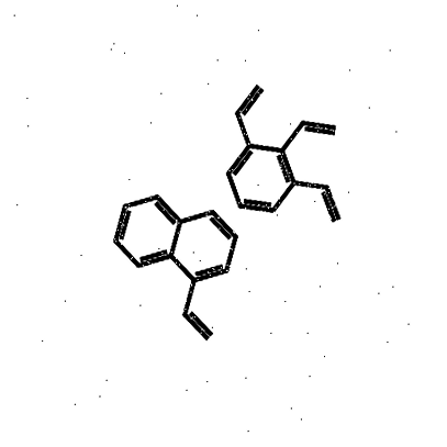 C=Cc1cccc(C=C)c1C=C.C=Cc1cccc2ccccc12